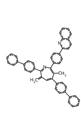 C=C1C=C(c2ccc(-c3ccccc3)cc2)C(C)=C(c2ccc(-c3ccc4ccccc4n3)cc2)N=C1c1ccc(-c2ccccc2)cc1